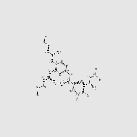 CCCOC(=O)Oc1ccc(C[C@H](N)C(=O)O[C@@H](C)C(C)OC(=O)CC(C)C)cc1OC(=O)OCCC